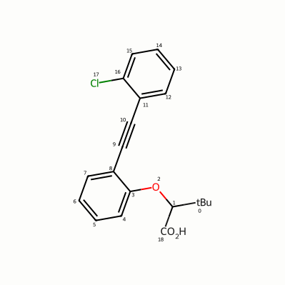 CC(C)(C)C(Oc1ccccc1C#Cc1ccccc1Cl)C(=O)O